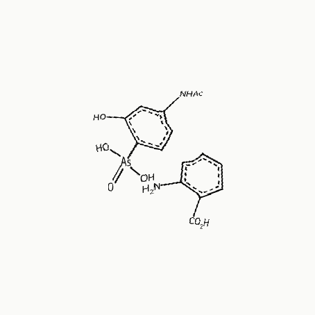 CC(=O)Nc1ccc([As](=O)(O)O)c(O)c1.Nc1ccccc1C(=O)O